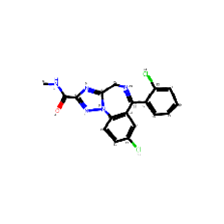 CNC(=O)c1nc2n(n1)-c1ccc(Cl)cc1C(c1ccccc1Cl)=NC2